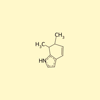 CC1C=Cc2cc[nH]c2C1C